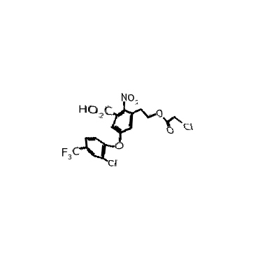 O=C(CCl)OCCc1cc(Oc2ccc(C(F)(F)F)cc2Cl)cc(C(=O)O)c1[N+](=O)[O-]